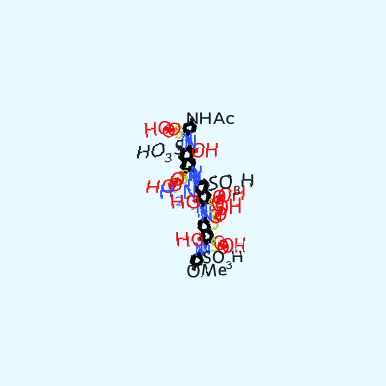 COc1ccc(N=Nc2c(SOOO)cc3c(SOOO)c(N=Nc4c(SOOO)cc5c(S(=O)(=O)O)cc(N=Nc6cc7c(O)c(N=Nc8ccc(NC(C)=O)cc8SOOO)c(S(=O)(=O)O)cc7cc6SOOO)c(N)c5c4O)ccc3c2O)c(S(=O)(=O)O)c1